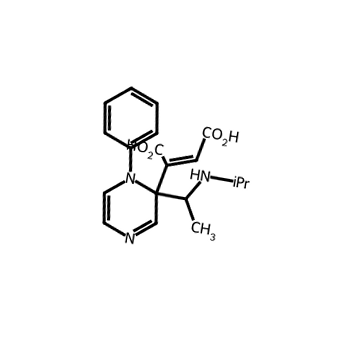 CC(C)NC(C)C1(/C(=C/C(=O)O)C(=O)O)C=NC=CN1c1ccccc1